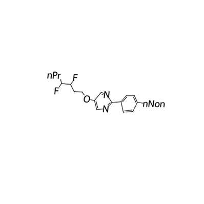 CCCCCCCCCc1ccc(-c2ncc(OCCC(F)C(F)CCC)cn2)cc1